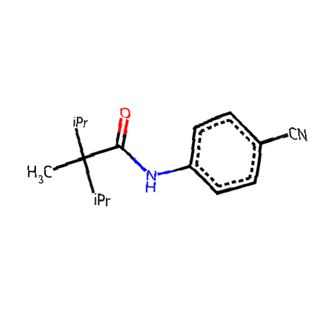 CC(C)C(C)(C(=O)Nc1ccc(C#N)cc1)C(C)C